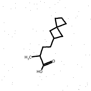 CC(CCC1CC2(CCC2)C1)C(=O)O